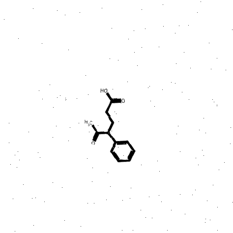 CC(=O)C(CCC(=O)O)c1ccccc1